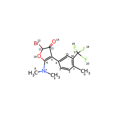 Cc1ccc(C2=C(N(C)C)OC(Br)C2=O)cc1C(F)(F)F